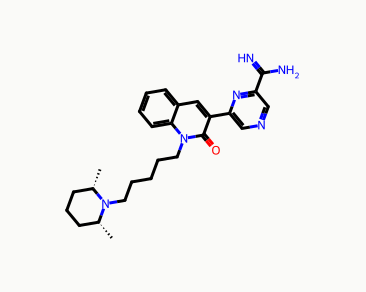 C[C@@H]1CCC[C@H](C)N1CCCCCn1c(=O)c(-c2cncc(C(=N)N)n2)cc2ccccc21